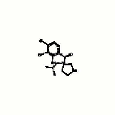 CC(C)C[C@@]1(C(=O)c2ccc(Cl)c(Cl)c2N)CCNC1